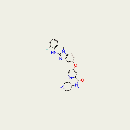 CN1CCC(N(C)C(=O)c2cc(Oc3ccc4c(c3)nc(Nc3ccccc3F)n4C)ccn2)CC1